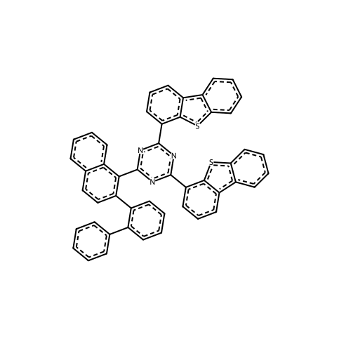 c1ccc(-c2ccccc2-c2ccc3ccccc3c2-c2nc(-c3cccc4c3sc3ccccc34)nc(-c3cccc4c3sc3ccccc34)n2)cc1